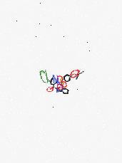 CC(C)Oc1ccc(S(=O)(=O)Nc2ncc(Cl)cc2C(=O)c2cc3ccccc3o2)cc1